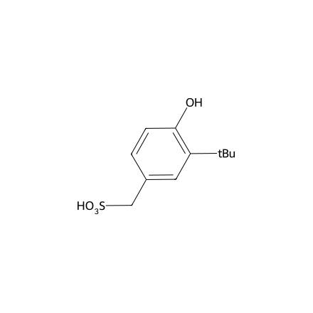 CC(C)(C)c1cc(CS(=O)(=O)O)ccc1O